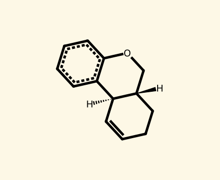 C1=C[C@H]2c3ccccc3OC[C@@H]2CC1